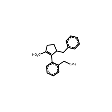 COCc1ccccc1C1=C(C(=O)O)CCC1Cc1ccccc1